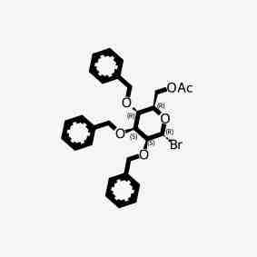 CC(=O)OC[C@H]1O[C@H](Br)[C@@H](OCc2ccccc2)[C@@H](OCc2ccccc2)[C@@H]1OCc1ccccc1